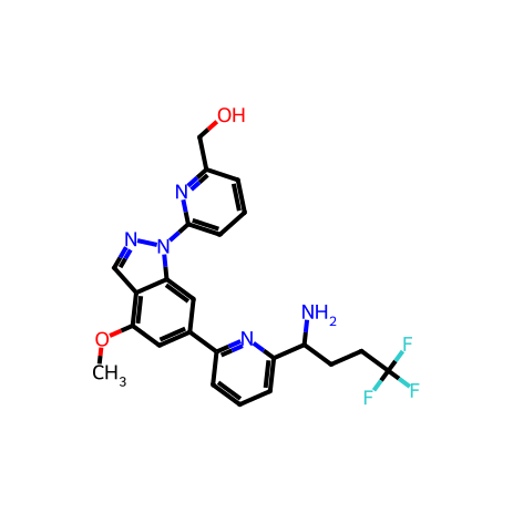 COc1cc(-c2cccc(C(N)CCC(F)(F)F)n2)cc2c1cnn2-c1cccc(CO)n1